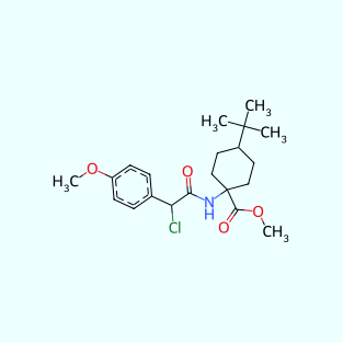 COC(=O)C1(NC(=O)C(Cl)c2ccc(OC)cc2)CCC(C(C)(C)C)CC1